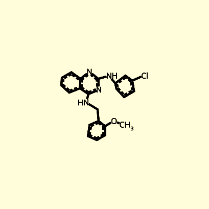 COc1ccccc1CNc1nc(Nc2cccc(Cl)c2)nc2ccccc12